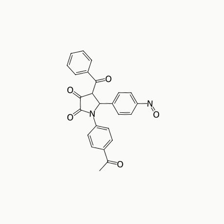 CC(=O)c1ccc(N2C(=O)C(=O)C(C(=O)c3ccccc3)C2c2ccc(N=O)cc2)cc1